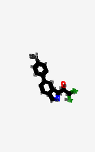 CC(C)(C)c1ccc(C2C=CC3=CN=C(C(=O)C(Br)Br)C3=C2)cc1